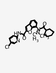 CN(C)N(C(=O)C1CCCCC1)c1cccc2cc(C(=O)Nc3ccc(Cl)cn3)oc12